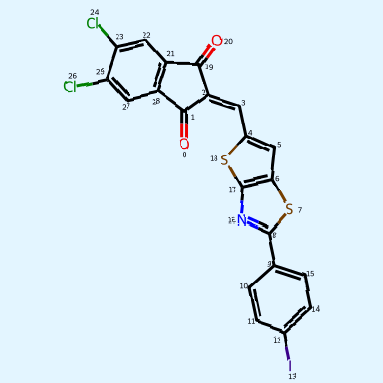 O=C1C(=Cc2cc3sc(-c4ccc(I)cc4)nc3s2)C(=O)c2cc(Cl)c(Cl)cc21